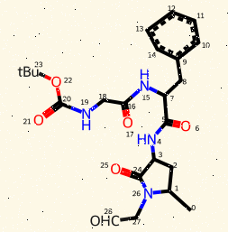 CC1CC(NC(=O)C(Cc2ccccc2)NC(=O)CNC(=O)OC(C)(C)C)C(=O)N1CC=O